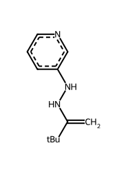 C=C(NNc1cccnc1)C(C)(C)C